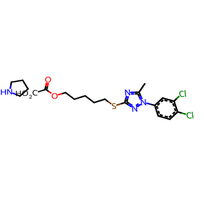 C1CCNC1.Cc1nc(SCCCCCOC(=O)C(=O)O)nn1-c1ccc(Cl)c(Cl)c1